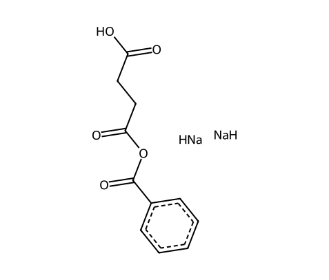 O=C(O)CCC(=O)OC(=O)c1ccccc1.[NaH].[NaH]